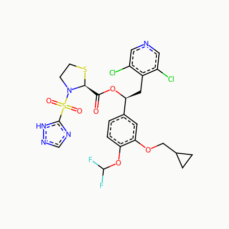 O=C(O[C@@H](Cc1c(Cl)cncc1Cl)c1ccc(OC(F)F)c(OCC2CC2)c1)[C@@H]1SCCN1S(=O)(=O)c1ncn[nH]1